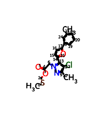 CSCOC(=O)Cn1nc(C)c(Cl)c1-c1ccc(-c2cccc(C)c2)o1